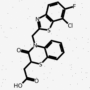 O=C(O)CC1Sc2ccccc2N(Cc2nc3ccc(F)c(Cl)c3s2)C1=O